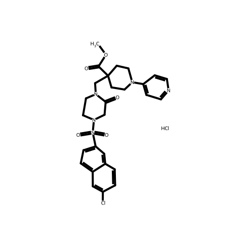 COC(=O)C1(CN2CCN(S(=O)(=O)c3ccc4cc(Cl)ccc4c3)CC2=O)CCN(c2ccncc2)CC1.Cl